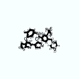 Cc1ccc(NC(=O)c2ccc(CN3CCN(C)CC3)c(C(F)(F)F)c2)cc1Oc1cc(-c2ccncc2)nc2sccc12